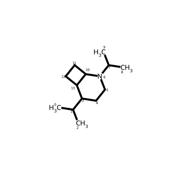 CC(C)C1CCN(C(C)C)C2CCC12